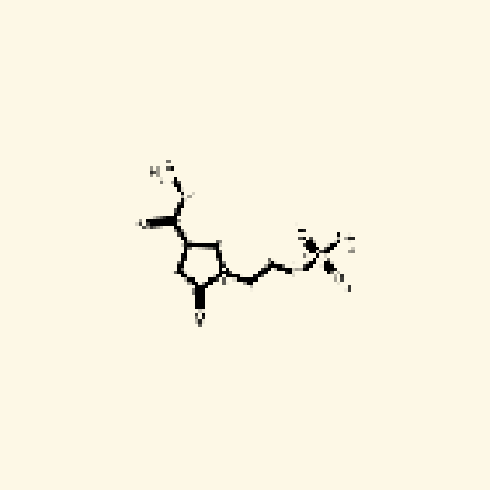 COC(=O)C1CC(=O)N(CCOS(=O)(=O)O)C1